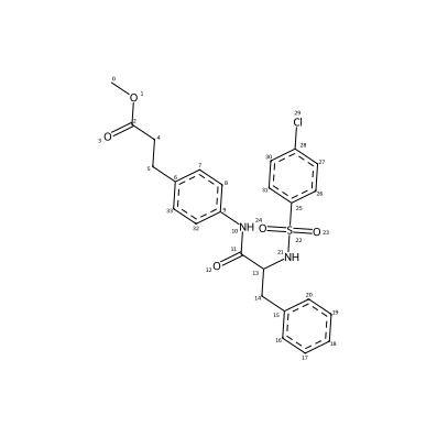 COC(=O)CCc1ccc(NC(=O)C(Cc2ccccc2)NS(=O)(=O)c2ccc(Cl)cc2)cc1